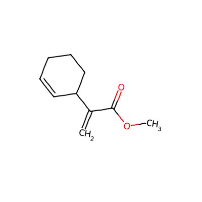 C=C(C(=O)OC)C1C=CCCC1